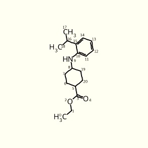 CCOC(=O)C1CCC(Nc2ccccc2C(C)C)CC1